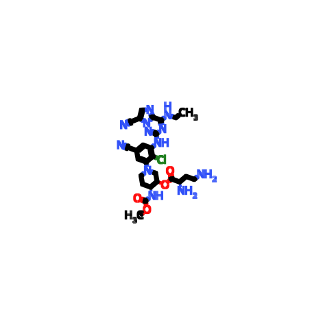 CCNc1nc(Nc2cc(C#N)cc(N3CC[C@@H](NC(=O)OC)[C@H](OC(=O)[C@@H](N)CCN)C3)c2Cl)nn2c(C#N)cnc12